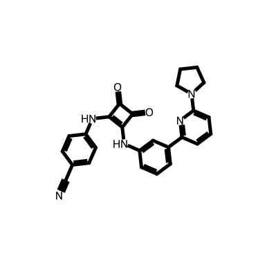 N#Cc1ccc(Nc2c(Nc3cccc(-c4cccc(N5CCCC5)n4)c3)c(=O)c2=O)cc1